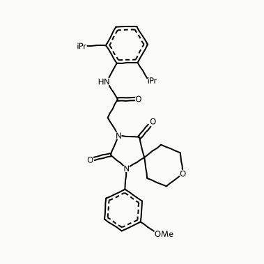 COc1cccc(N2C(=O)N(CC(=O)Nc3c(C(C)C)cccc3C(C)C)C(=O)C23CCOCC3)c1